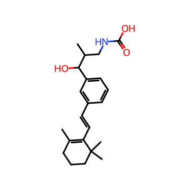 CC1=C(/C=C/c2cccc(C(O)C(C)CNC(=O)O)c2)C(C)(C)CCC1